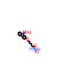 O=CNNC(=O)CC/C=C/COc1ccc2c(c1)/C(=N\O)c1ccccc1-2